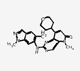 Cc1cc2cnn(C)c2cc1Nc1ncc2c(n1)c(C1CCOCC1)cc(=O)n2C